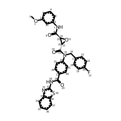 COc1cccc(NC(=O)[C@H]2O[C@@H]2C(=O)N(Cc2ccc(F)cc2)c2ccc(C(=O)Nc3nc4ccccc4s3)cc2)c1